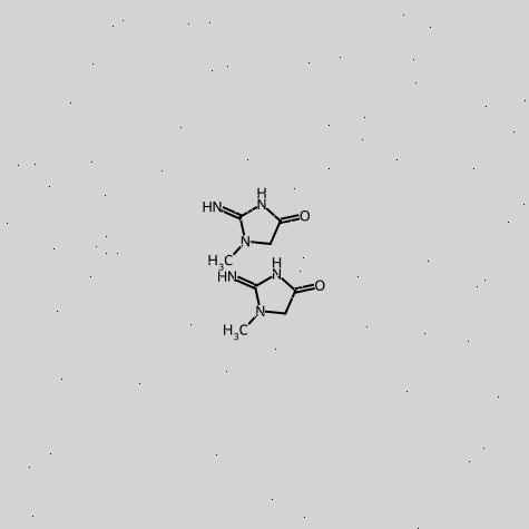 CN1CC(=O)NC1=N.CN1CC(=O)NC1=N